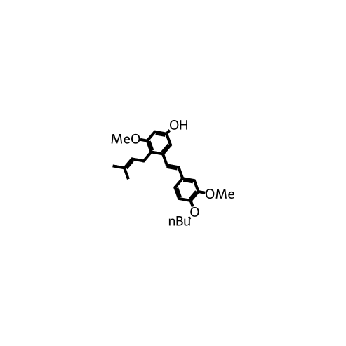 CCCCOc1ccc(/C=C/c2cc(O)cc(OC)c2CC=C(C)C)cc1OC